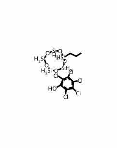 CCC[SiH]1O[SiH2]O[SiH2]O[SiH2]O[SiH2]O1.Oc1c(Cl)c(Cl)c(Cl)c(Cl)c1Cl